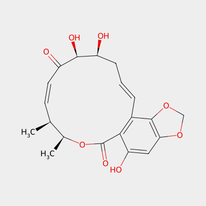 C[C@@H]1OC(=O)c2c(O)cc3c(c2/C=C/C[C@H](O)[C@H](O)C(=O)/C=C\[C@@H]1C)OCO3